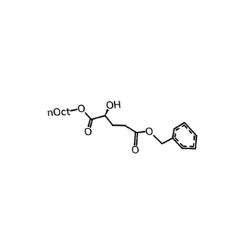 CCCCCCCCOC(=O)[C@@H](O)CCC(=O)OCc1ccccc1